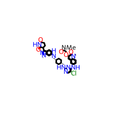 CNC(=O)COc1cc2cc(Nc3nc(NC[C@H]4CC[C@@H](CNc5ccc6c(C7CCC(=O)NC7=O)nn(C)c6c5)CC4)ncc3Cl)ccc2n(C)c1=O